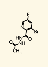 CC(=O)NNC(=O)c1ncc(F)cc1Br